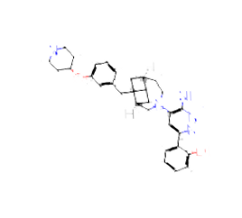 Nc1nnc(-c2ccccc2O)cc1N1CC[C@H]2CC3(Cc4cccc(OC5CCNCC5)c4)C2C[C@H]3C1